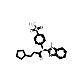 CS(=O)(=O)c1ccc(N(C(=O)CCC2CCCC2)c2nc3ccccc3[nH]2)cc1